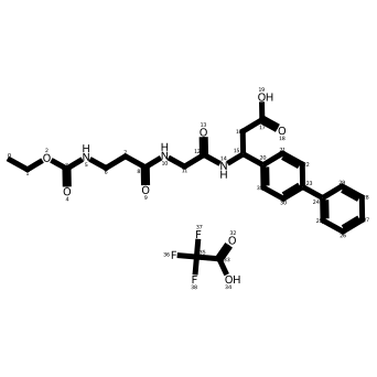 CCOC(=O)NCCC(=O)NCC(=O)NC(CC(=O)O)c1ccc(-c2ccccc2)cc1.O=C(O)C(F)(F)F